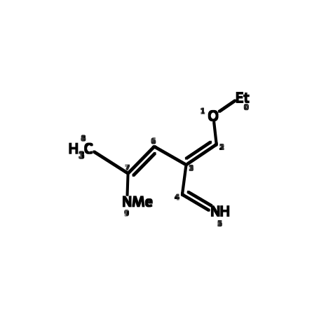 CCO/C=C(C=N)\C=C(\C)NC